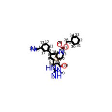 CN1C(=N)N[C@](C)(c2cc(-c3cccc(C#N)c3)cs2)[C@H](C2CCN(C(=O)OCc3ccccc3)CC2)C1=O